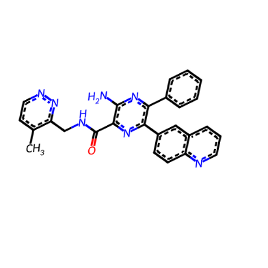 Cc1ccnnc1CNC(=O)c1nc(-c2ccc3ncccc3c2)c(-c2ccccc2)nc1N